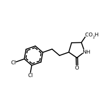 O=C1NC(C(=O)O)CC1CCc1ccc(Cl)c(Cl)c1